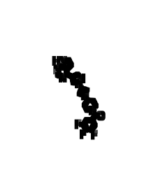 O=C(c1cc(F)c(F)c(F)c1)N1CCC(N2CC(n3cc(-c4ncnc5[nH]ccc45)cn3)C2)CC1